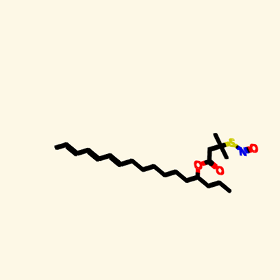 CC=CC=CC=CCCCCCCC(CCC)OC(=O)CC(C)(C)SN=O